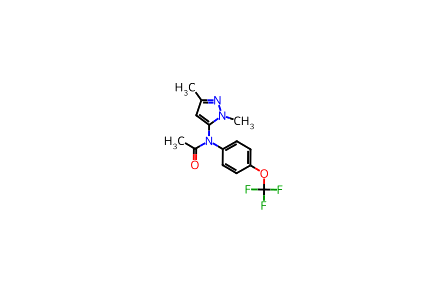 CC(=O)N(c1ccc(OC(F)(F)F)cc1)c1cc(C)nn1C